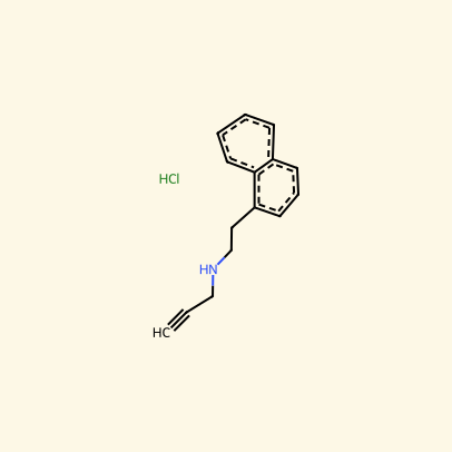 C#CCNCCc1cccc2ccccc12.Cl